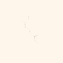 COC(=O)OCCC(O)OC